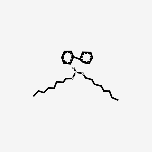 CCCCCCCCOP(O)OCCCCCCCC.c1ccc(-c2ccccc2)cc1